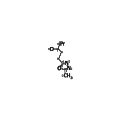 Cc1nnc(CCC(=O)C(C)C)o1